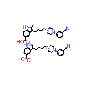 Cc1[nH]c2ccc(C(=O)O)cc2c1CCCCN1CCN(c2cccc(C#N)c2)CC1.N#Cc1cccc(N2CCN(CCCCc3c[nH]c4ccc(C(=O)O)cc34)CC2)c1